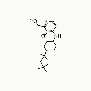 COCc1nccc(NC2CCC(C(C)(C)CC(C)(C)C)CC2)c1Cl